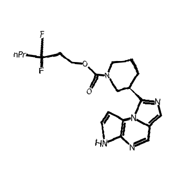 CCCC(F)(F)CCOC(=O)N1CCC[C@@H](c2ncc3cnc4[nH]ccc4n23)C1